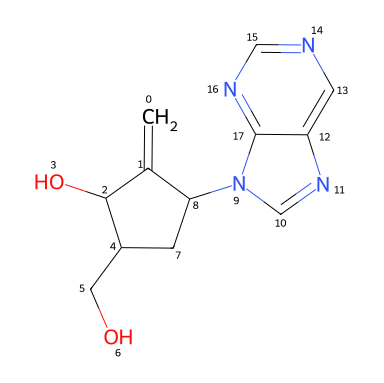 C=C1C(O)C(CO)CC1n1cnc2cncnc21